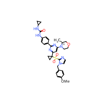 COc1ccc(Cn2ccnc2S(=O)(=O)C2(c3cc(N4CCOC[C@@H]4C)nc(-c4ccc(NC(=O)NC5CC5)cc4)n3)CC2)cc1